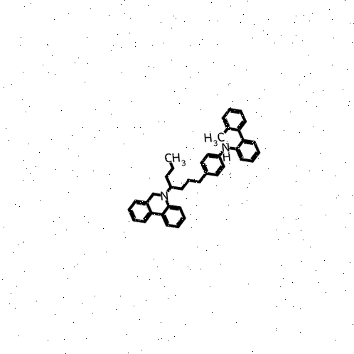 CCCC(CCCc1ccc(Nc2ccccc2-c2ccccc2C)cc1)N1Cc2ccccc2-c2ccccc21